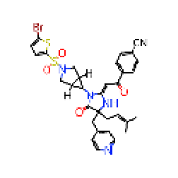 CC(C)=CCC1(Cc2ccncc2)NC(=CC(=O)c2ccc(C#N)cc2)N([C@H]2[C@@H]3CN(S(=O)(=O)c4ccc(Br)s4)C[C@@H]32)C1=O